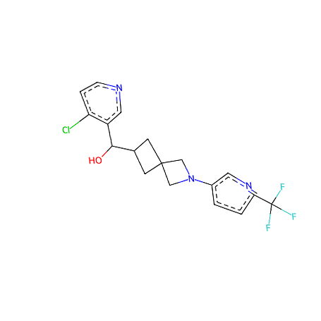 OC(c1cnccc1Cl)C1CC2(C1)CN(c1ccc(C(F)(F)F)nc1)C2